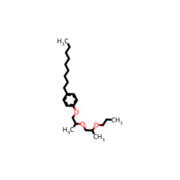 CCCCCCCCCc1ccc(OCC(C)OCC(C)OCCC)cc1